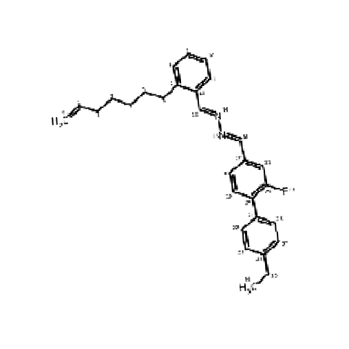 C=CCCCCCc1ccccc1C=NN=Cc1ccc(-c2ccc(CC)cc2)c(F)c1